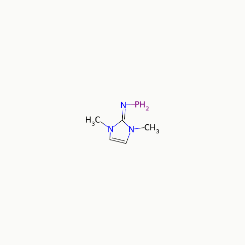 Cn1ccn(C)c1=NP